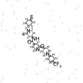 O=C(NC1CCN(Cc2ccc(F)cc2)C(I)C1)c1ccnc(OC2CCN(c3ccc(C(F)(F)F)cc3)CC2)c1